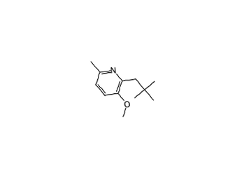 COc1ccc(C)nc1CC(C)(C)C